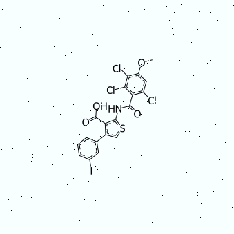 COc1cc(Cl)c(C(=O)Nc2scc(-c3cccc(I)c3)c2C(=O)O)c(Cl)c1Cl